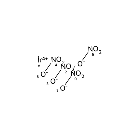 O=[N+]([O-])[O-].O=[N+]([O-])[O-].O=[N+]([O-])[O-].O=[N+]([O-])[O-].[Ir+4]